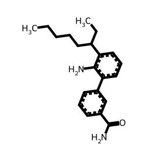 CCCCCC(CC)c1cccc(-c2cccc(C(N)=O)c2)c1N